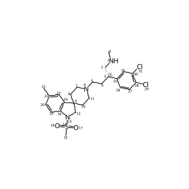 CNC[C@@H](CCN1CCC2(CC1)CN(S(C)(=O)=O)c1ccc(C)cc12)c1ccc(Cl)c(Cl)c1